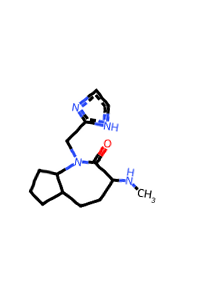 CNC1CCC2CCCC2N(Cc2ncc[nH]2)C1=O